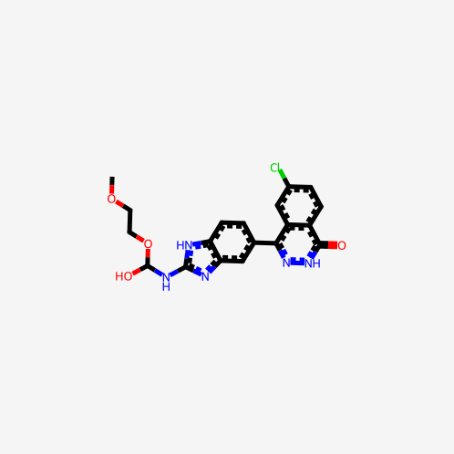 COCCOC(O)Nc1nc2cc(-c3n[nH]c(=O)c4ccc(Cl)cc34)ccc2[nH]1